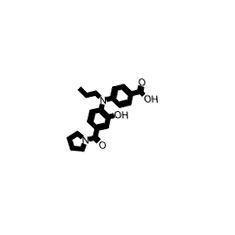 CCCN(c1ccc(C(=O)O)cc1)c1ccc(C(=O)N2CCCC2)cc1O